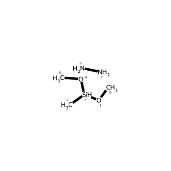 CO[SiH](C)OC.NN